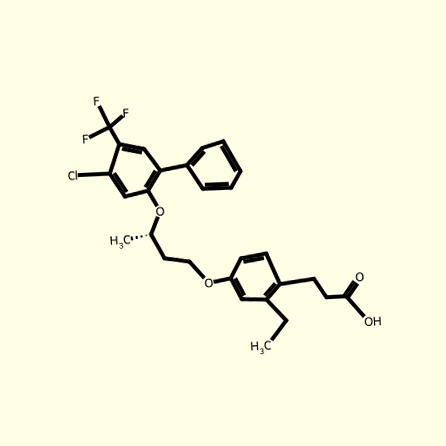 CCc1cc(OCC[C@H](C)Oc2cc(Cl)c(C(F)(F)F)cc2-c2ccccc2)ccc1CCC(=O)O